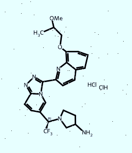 COC(C)COc1cccc2ccc(-c3nnc4ccc([C@@H](N5CCC(N)C5)C(F)(F)F)cn34)nc12.Cl.Cl